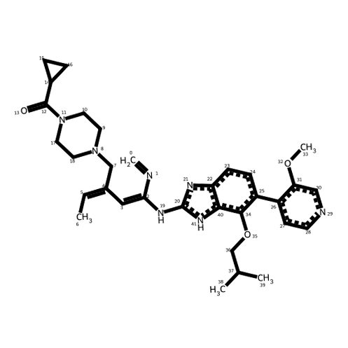 C=N/C(=C\C(=C/C)CN1CCN(C(=O)C2CC2)CC1)Nc1nc2ccc(-c3ccncc3OC)c(OCC(C)C)c2[nH]1